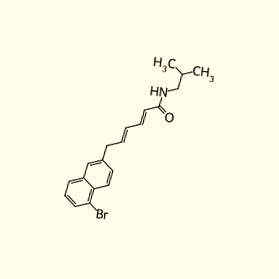 CC(C)CNC(=O)/C=C/C=C/Cc1ccc2c(Br)cccc2c1